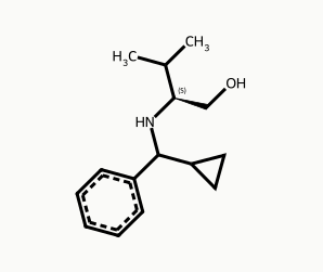 CC(C)[C@@H](CO)NC(c1ccccc1)C1CC1